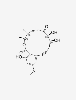 CNc1cc(O)c2c(c1)C#CC[C@H](O)[C@H](O)C(=O)/C=C\[C@@H](C)[C@H](C)OC2=O